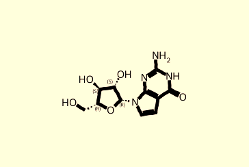 Nc1nc2c(ccn2[C@@H]2O[C@H](CO)[C@@H](O)[C@@H]2O)c(=O)[nH]1